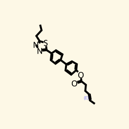 C/C=C/CCC(=O)Oc1ccc(-c2ccc(-c3nnc(CCC)s3)cc2)cc1